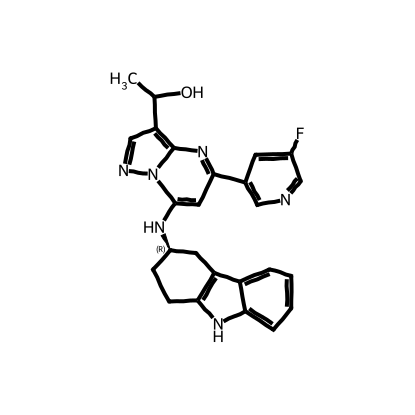 CC(O)c1cnn2c(N[C@@H]3CCc4[nH]c5ccccc5c4C3)cc(-c3cncc(F)c3)nc12